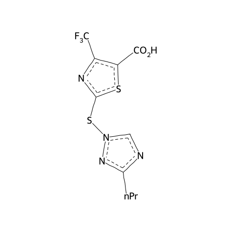 CCCc1ncn(Sc2nc(C(F)(F)F)c(C(=O)O)s2)n1